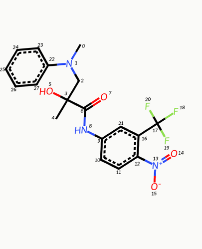 CN(CC(C)(O)C(=O)Nc1ccc([N+](=O)[O-])c(C(F)(F)F)c1)c1ccccc1